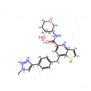 Cn1cc(-c2ccc(Cc3cc(C(=O)N[C@@H]4COCC[C@H]4O)nc4ccsc34)cc2)nn1